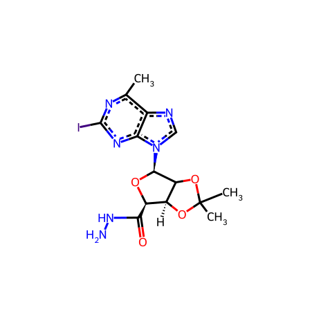 Cc1nc(I)nc2c1ncn2[C@@H]1O[C@H](C(=O)NN)[C@@H]2OC(C)(C)OC21